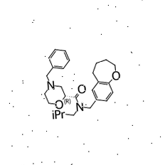 CC(C)CN(Cc1ccc2c(c1)CCCCO2)C(=O)[C@H]1CN(Cc2ccccc2)CCO1